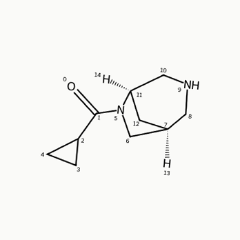 O=C(C1CC1)N1C[C@@H]2CNC[C@H]1C2